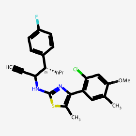 C#CC(Nc1nc(-c2cc(C)c(OC)cc2Cl)c(C)s1)[C@@H](CCC)c1ccc(F)cc1